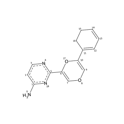 Nc1ccnc(C2=COC=C(C3=CC=CCC3)O2)n1